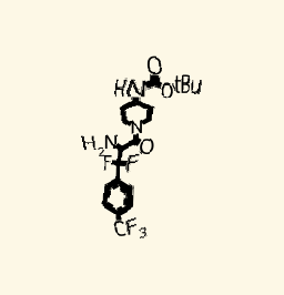 CC(C)(C)OC(=O)NC1CCN(C(=O)C(N)C(F)(F)c2ccc(C(F)(F)F)cc2)CC1